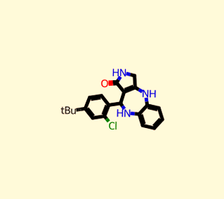 CC(C)(C)c1ccc(C2Nc3ccccc3NC3=C2C(=O)NC3)c(Cl)c1